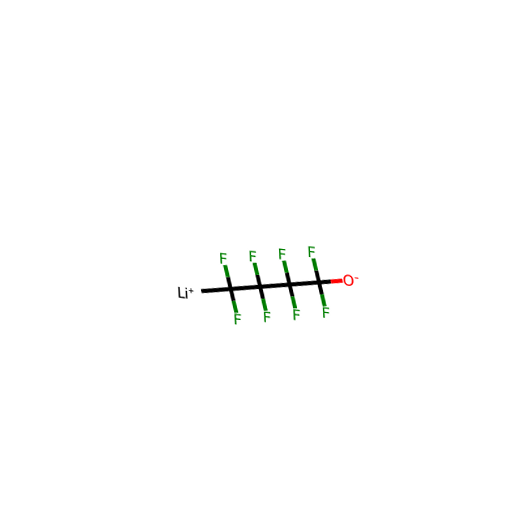 CC(F)(F)C(F)(F)C(F)(F)C([O-])(F)F.[Li+]